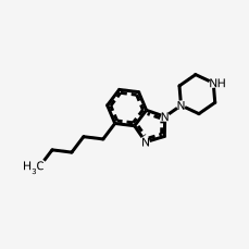 CCCCCc1cccc2c1ncn2N1CCNCC1